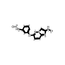 CCNc1cn2nc(Oc3cccc(NC=O)c3)ccc2n1